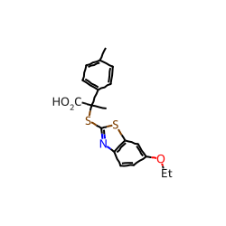 CCOc1ccc2nc(SC(C)(C(=O)O)c3ccc(C)cc3)sc2c1